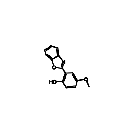 COc1ccc(O)c(-c2nc3ccccc3o2)c1